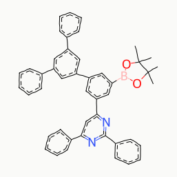 CC1(C)OB(c2cc(-c3cc(-c4ccccc4)cc(-c4ccccc4)c3)cc(-c3cc(-c4ccccc4)nc(-c4ccccc4)n3)c2)OC1(C)C